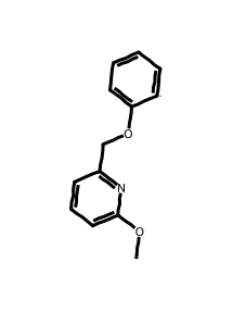 COc1cccc(COc2[c]cccc2)n1